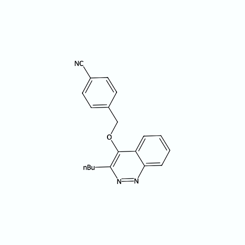 CCCCc1nnc2ccccc2c1OCc1ccc(C#N)cc1